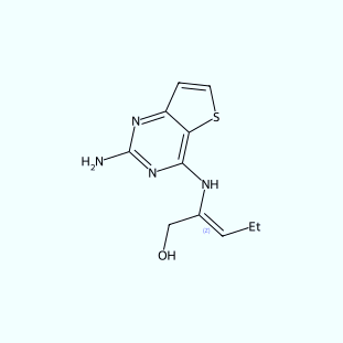 CC/C=C(/CO)Nc1nc(N)nc2ccsc12